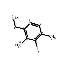 CC(=O)OCc1ncc(C)c(I)c1C